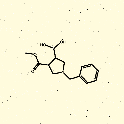 COC(=O)C1CN(Cc2ccccc2)CC1B(O)O